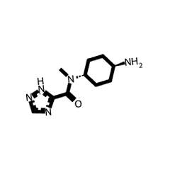 CN(C(=O)c1ncn[nH]1)[C@H]1CC[C@H](N)CC1